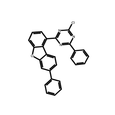 Clc1nc(-c2ccccc2)nc(-c2cccc3oc4cc(-c5ccccc5)ccc4c23)n1